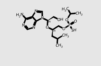 CC(C)C[C@H](COP(=O)(S)OC(C)C)O[C@H](CO)n1cnc2c(N)ncnc21